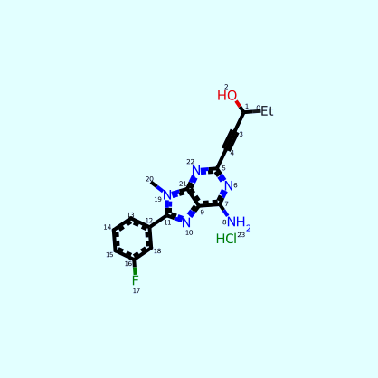 CCC(O)C#Cc1nc(N)c2nc(-c3cccc(F)c3)n(C)c2n1.Cl